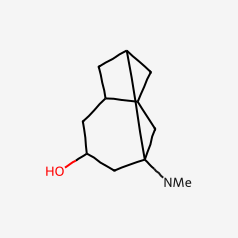 CNC12CC(O)CC3CC1CC3C2